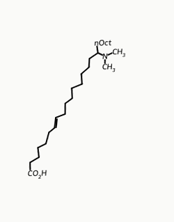 CCCCCCCCC(CCCCCCCCC=CCCCCCC(=O)O)N(C)C